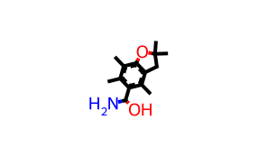 Cc1c(C)c(C(N)O)c(C)c2c1OC(C)(C)C2